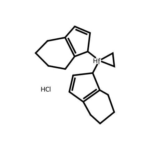 C1=C[CH]([Hf]2([CH]3C=CC4=C3CCCC4)[CH2][CH2]2)C2=C1CCCC2.Cl